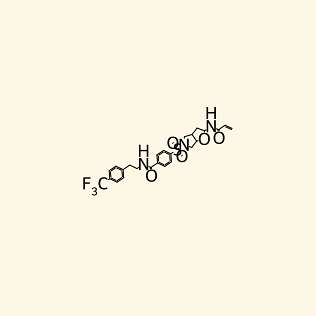 C=CC(=O)NC1CC2CN(S(=O)(=O)c3ccc(C(=O)NCCc4ccc(C(F)(F)F)cc4)cc3)CC2O1